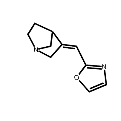 C(=C1CN2CCC1C2)c1ncco1